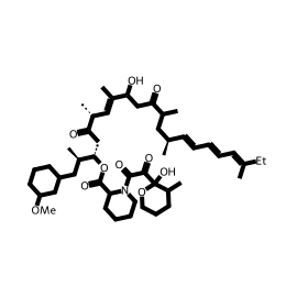 CC/C(C)=C/C=C/C=C/[C@@H](C)CC(C)C(=O)CC(O)/C(C)=C/[C@@H](C)C(=O)C[C@H](OC(=O)C1CCCCN1C(=O)C(=O)C1(O)OCCCC1C)[C@H](C)CC1CCCC(OC)C1